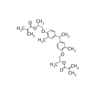 C=C(C)C(=O)OC(C)COc1ccc(C(C)c2ccc(OCC(C)OC(=O)C(=C)C)c(C)c2)cc1C